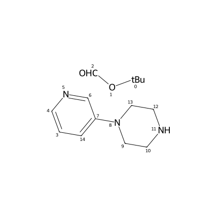 CC(C)(C)OC=O.c1cncc(N2CCNCC2)c1